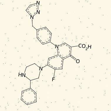 O=C(O)c1cn(-c2ccc(Cn3ccnn3)cc2)c2cc(N3CCNC(c4ccccc4)C3)c(F)cc2c1=O